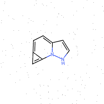 C1=CC2=CC=C3C=C3N2N1